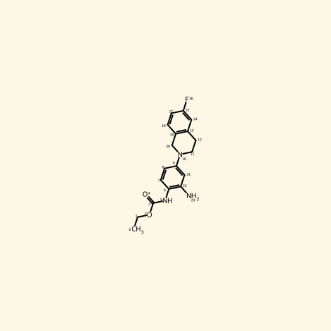 CCOC(=O)Nc1ccc(N2CCc3cc(F)ccc3C2)cc1N